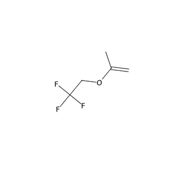 C=C(C)OCC(F)(F)F